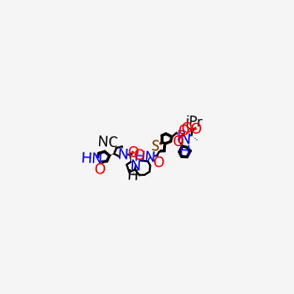 CC(C)OC(=O)[C@H](C)NP(=O)(Cc1ccc2sc(C(=O)N[C@H]3CCCC[C@H]4CC[C@@H](C(=O)N5C[C@H](c6cc[nH]c(=O)c6)[C@@H](C#N)C5)N4C3=O)cc2c1)Oc1ccccc1